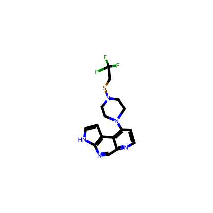 FC(F)(F)CSN1CCN(c2ccnc3cnc4[nH]ccc4c23)CC1